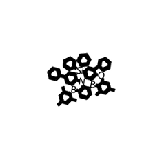 Cc1cc(C)c(B2c3cccc4c3N3c5c2cc(-c2ccccc2)cc5[Si](c2ccccc2)(c2ccccc2)c2cc5c(oc6ccccc65)c(c23)B4c2c(C)cc(C)cc2C)c(C)c1